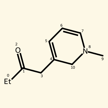 CCC(=O)CC1=CC=CN(C)C1